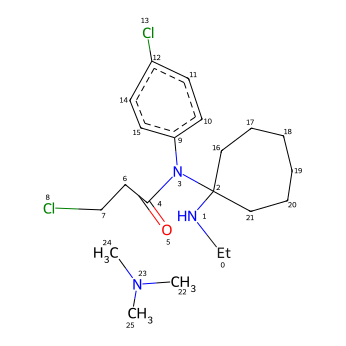 CCNC1(N(C(=O)CCCl)c2ccc(Cl)cc2)CCCCCC1.CN(C)C